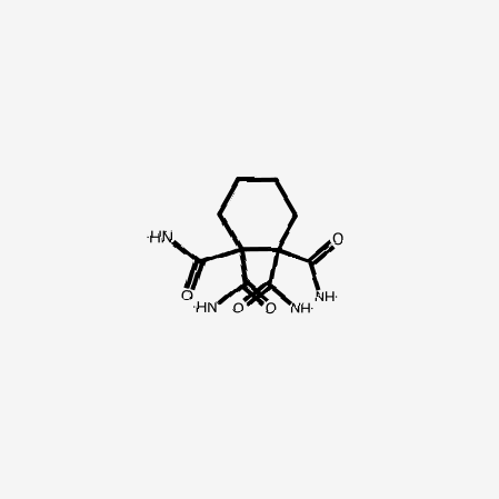 [NH]C(=O)C1(C([NH])=O)CCCCC1(C([NH])=O)C([NH])=O